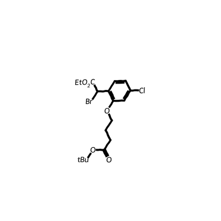 CCOC(=O)C(Br)c1ccc(Cl)cc1OCCCC(=O)OC(C)(C)C